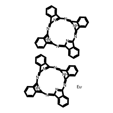 [Eu].c1ccc2c(c1)-c1nc-2nc2[nH]c(nc3nc(nc4[nH]c(n1)c1ccccc41)-c1ccccc1-3)c1ccccc21.c1ccc2c(c1)-c1nc-2nc2[nH]c(nc3nc(nc4[nH]c(n1)c1ccccc41)-c1ccccc1-3)c1ccccc21